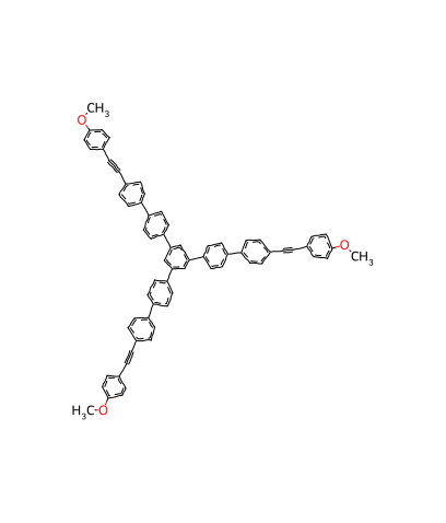 COc1ccc(C#Cc2ccc(-c3ccc(-c4cc(-c5ccc(-c6ccc(C#Cc7ccc(OC)cc7)cc6)cc5)cc(-c5ccc(-c6ccc(C#Cc7ccc(OC)cc7)cc6)cc5)c4)cc3)cc2)cc1